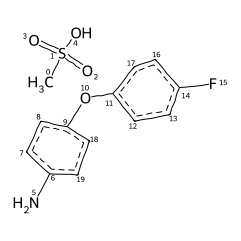 CS(=O)(=O)O.Nc1ccc(Oc2ccc(F)cc2)cc1